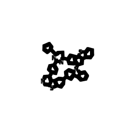 C1=C(c2ccccc2)N=C(c2ccc(-c3cncc4sc5ccc(-c6ccc7c(c6)c6ccccc6n7-c6ccc7sc8ccccc8c7c6)cc5c34)cc2)N=C(c2ccccc2)C1